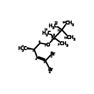 C[C@H](C=C(Br)Br)CO[Si](C)(C)C(C)(C)C